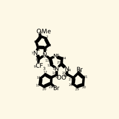 COc1ccc2c(c1)nc(C(F)(F)F)n2-c1cn(C(=O)c2ccccc2Br)/c(=N\C(=O)c2ccccc2Br)cn1